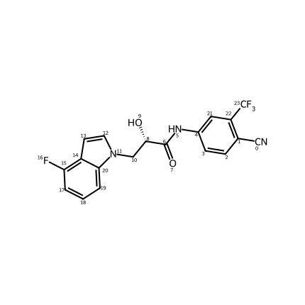 N#Cc1ccc(NC(=O)[C@@H](O)Cn2ccc3c(F)cccc32)cc1C(F)(F)F